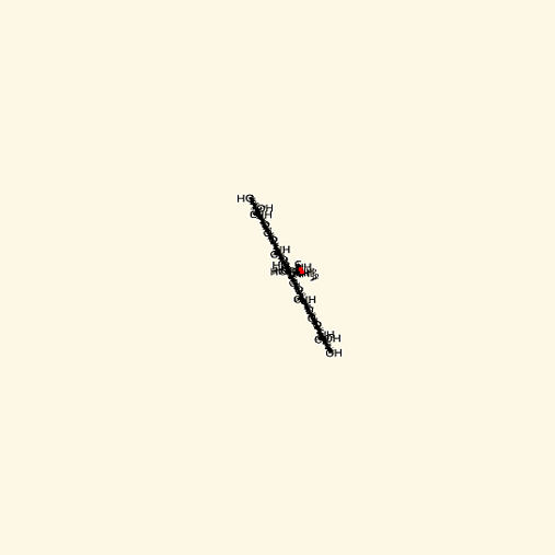 NC(=O)O.NC(=O)O.NC(=O)O.NC(=O)O.O=C(CCOCCOCCOCCOCCOCCC(=O)NCCCOCCOCCOCCCNC(=O)[C@@H](O)CCCCO)NCCCOCCOCCOCCCNC(=O)[C@@H](O)CCCCO